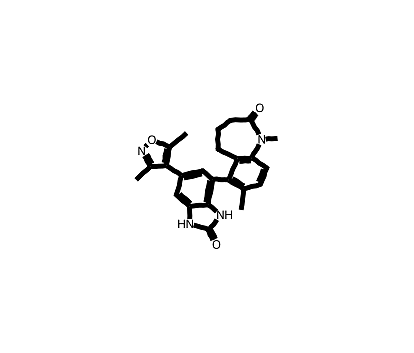 Cc1ccc2c(c1-c1cc(-c3c(C)noc3C)cc3[nH]c(=O)[nH]c13)CCCC(=O)N2C